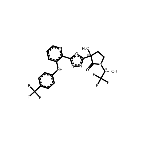 C[C@@]1(c2nnc(-c3ncccc3Nc3ccc(C(F)(F)F)cc3)o2)CCN([C@H](O)C(F)(F)F)C1=O